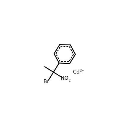 CC(Br)(c1ccccc1)[N+](=O)[O-].[Cd+2]